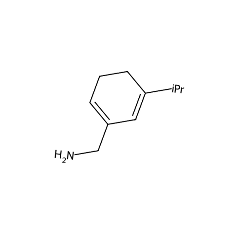 CC(C)C1=CC(CN)=CCC1